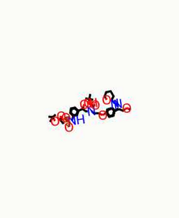 COCc1nn(C2CCCCO2)c2cc(OCCN(CC(O)c3cccc(NS(=O)(=O)CC(=O)OC(C)(C)C)c3)C(=O)OC(C)(C)C)ccc12